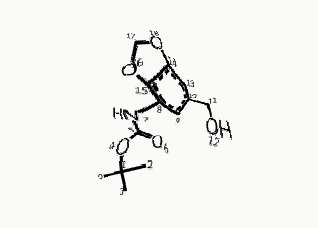 CC(C)(C)OC(=O)Nc1cc(CO)cc2c1OCO2